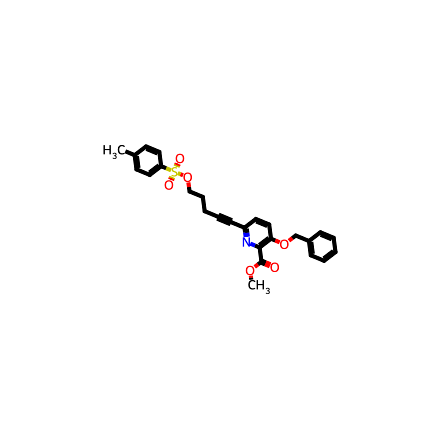 COC(=O)c1nc(C#CCCCOS(=O)(=O)c2ccc(C)cc2)ccc1OCc1ccccc1